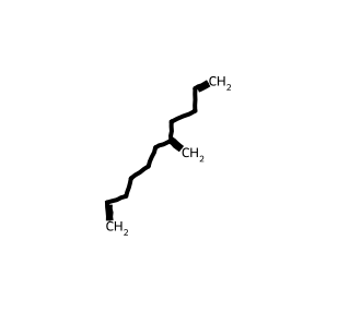 C=CCCCCC(=C)CCC=C